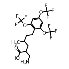 CC(CCc1c(OC(F)(F)F)cc(OC(F)(F)F)cc1OC(F)(F)F)CC(CN)C(=O)O